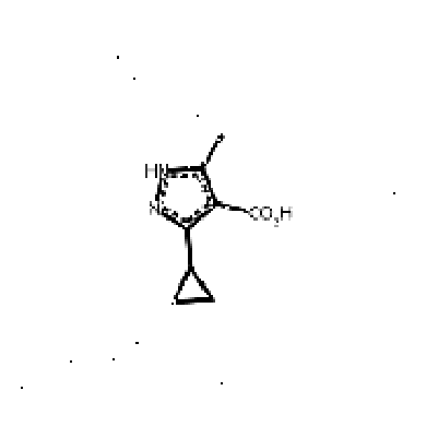 Cc1[nH]nc(C2CC2)c1C(=O)O